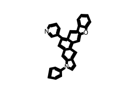 c1ccc(-n2ccc3cc4c(cc(-c5cccnc5)c5cc6c(cc54)oc4ccccc46)cc32)cc1